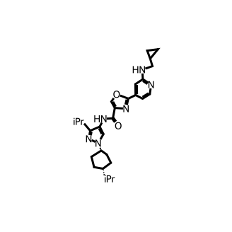 CC(C)c1nn([C@H]2CC[C@@H](C(C)C)CC2)cc1NC(=O)c1coc(-c2ccnc(NCC3CC3)c2)n1